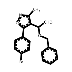 Cc1noc(-c2ccc(Br)cc2)c1C(C=O)OCc1ccccc1